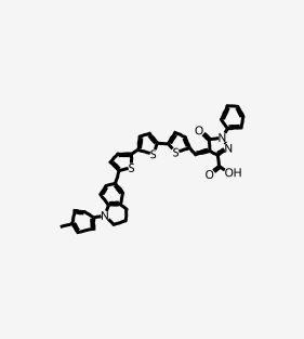 Cc1ccc(N2CCCc3cc(-c4ccc(-c5ccc(-c6ccc(/C=C7\C(=O)N(c8ccccc8)N=C7C(=O)O)s6)s5)s4)ccc32)cc1